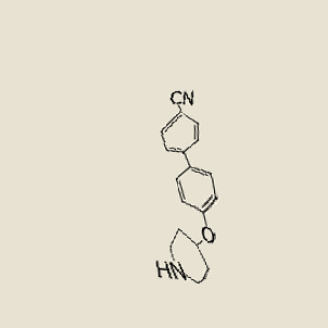 N#Cc1ccc(-c2ccc(OC3CCNCC3)cc2)cc1